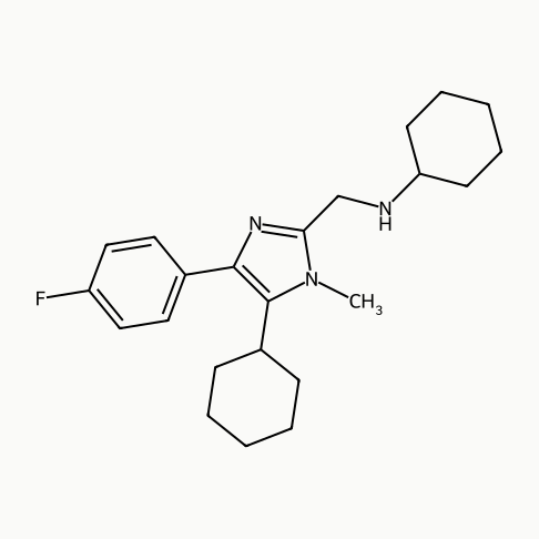 Cn1c(CNC2CCCCC2)nc(-c2ccc(F)cc2)c1C1CCCCC1